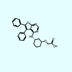 O=C(O)CO[C@H]1CCC[C@H](Nc2ncnc3oc(-c4ccccc4)c(-c4ccccc4)c23)C1